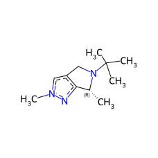 C[C@@H]1c2nn(C)cc2CN1C(C)(C)C